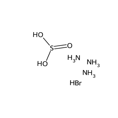 Br.N.N.N.O=S(O)O